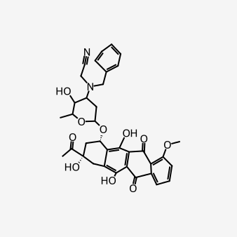 COc1cccc2c1C(=O)c1c(O)c3c(c(O)c1C2=O)C[C@@](O)(C(C)=O)C[C@@H]3OC1CC(N(CC#N)Cc2ccccc2)C(O)C(C)O1